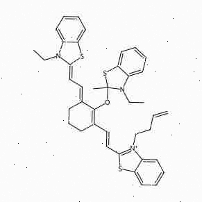 C=CCC[n+]1c(/C=C/C2=C(OC3(C)Sc4ccccc4N3CC)C(=C/C=C3\Sc4ccccc4N3CC)/CCC2)sc2ccccc21